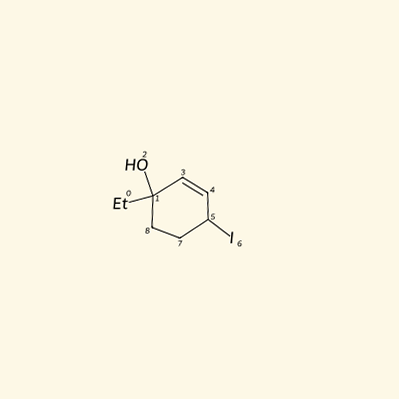 CCC1(O)C=CC(I)CC1